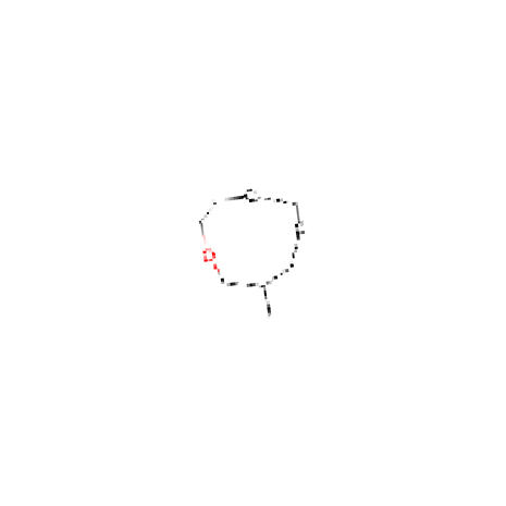 CC1CCCCCCOC1